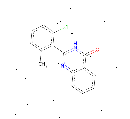 Cc1cccc(Cl)c1-c1nc2ccccc2c(=O)[nH]1